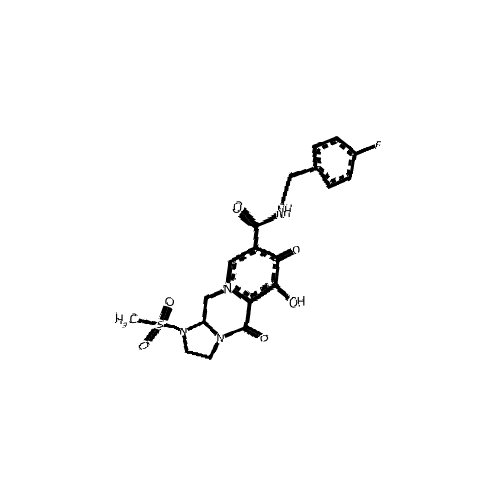 CS(=O)(=O)N1CCN2C(=O)c3c(O)c(=O)c(C(=O)NCc4ccc(F)cc4)cn3CC21